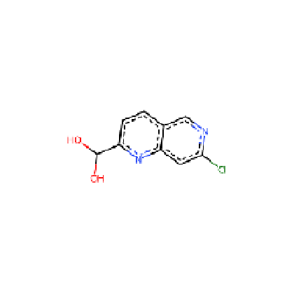 OC(O)c1ccc2cnc(Cl)cc2n1